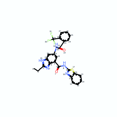 CCc1nc2c(C(=O)Nc3nc4ccccc4s3)cc(NC(=O)c3ccccc3C(F)(F)F)cc2[nH]1